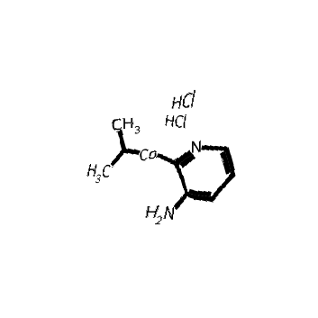 C[CH](C)[Co][c]1ncccc1N.Cl.Cl